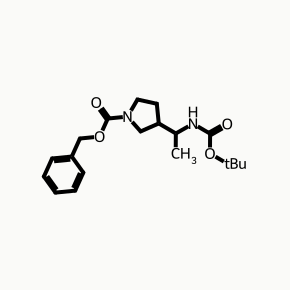 CC(NC(=O)OC(C)(C)C)C1CCN(C(=O)OCc2ccccc2)C1